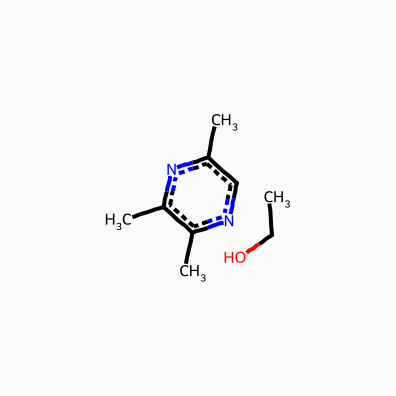 CCO.Cc1cnc(C)c(C)n1